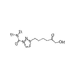 CCN(CC)C(=O)n1ccc(CCCCC(=O)CO)n1